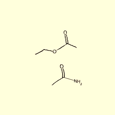 CC(N)=O.CCOC(C)=O